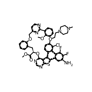 COC(=O)[C@@H](Cc1ccccc1OCc1ccnc(-c2ccccc2OC)n1)Oc1ncnc2sc3c4cc(N)c(F)c(F)c4c4c(Cl)c(OCCN5CCN(C)CC5)ccc4c3c12